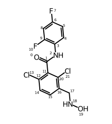 O=C(Nc1ccc(F)cc1F)c1c(Cl)ccc(CNO)c1Cl